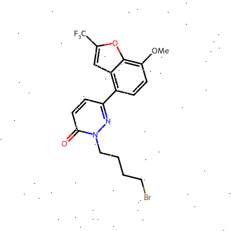 COc1ccc(-c2ccc(=O)n(CCCCBr)n2)c2cc(C(F)(F)F)oc12